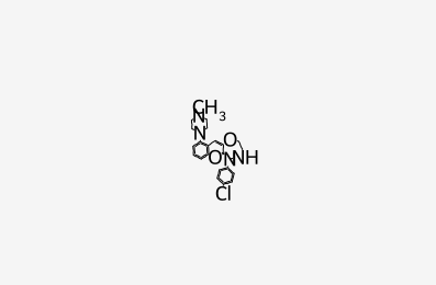 CN1CCN(c2ccccc2/C=C2/OCCNN(c3ccc(Cl)cc3)C2=O)CC1